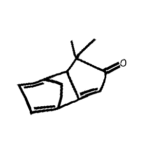 CC1(C)C(=O)C=C2C3=CC=C(C3)C21